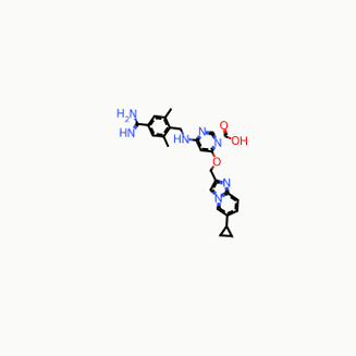 Cc1cc(C(=N)N)cc(C)c1CNc1cc(OCc2cn3cc(C4CC4)ccc3n2)ncn1.O=CO